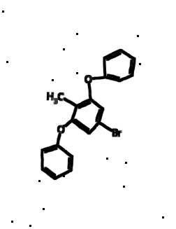 Cc1c(Oc2ccccc2)cc(Br)cc1Oc1ccccc1